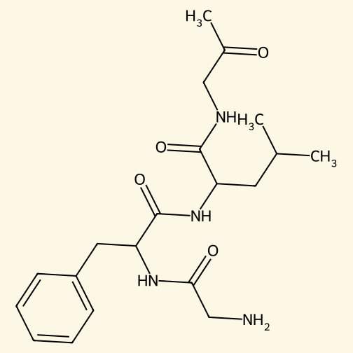 CC(=O)CNC(=O)C(CC(C)C)NC(=O)C(Cc1ccccc1)NC(=O)CN